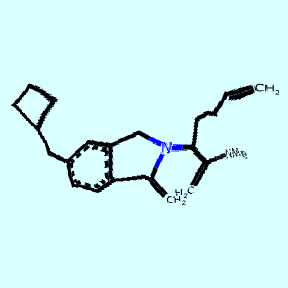 C=CCCC(C(=C)NC)N1Cc2cc(CC3CCC3)ccc2C1=C